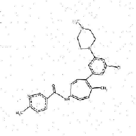 CC1=C(c2cc(Cl)cc(N3CCN(C)CC3)c2)C=CC(NC(=O)c2cnc(C)nc2)=C=C1